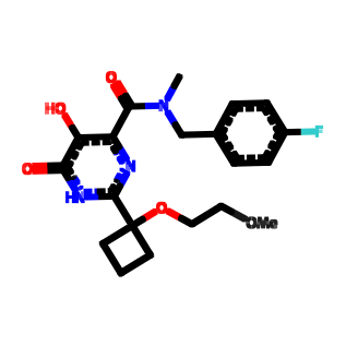 COCCOC1(c2nc(C(=O)N(C)Cc3ccc(F)cc3)c(O)c(=O)[nH]2)CCC1